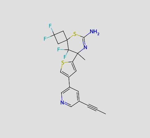 CC#Cc1cncc(-c2csc(C3(C)N=C(N)SC4(CC(F)(F)C4)C3(F)F)c2)c1